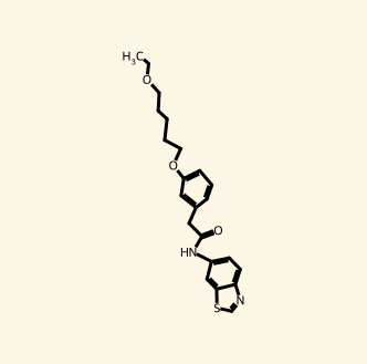 CCOCCCCCOc1cccc(CC(=O)Nc2ccc3ncsc3c2)c1